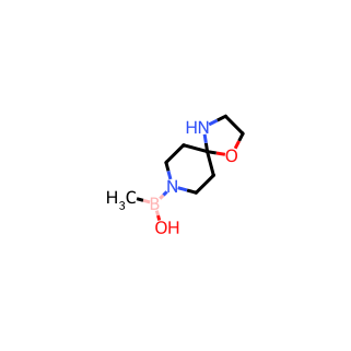 CB(O)N1CCC2(CC1)NCCO2